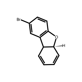 Brc1ccc2c(c1)C1C=CC=C[C@@H]1O2